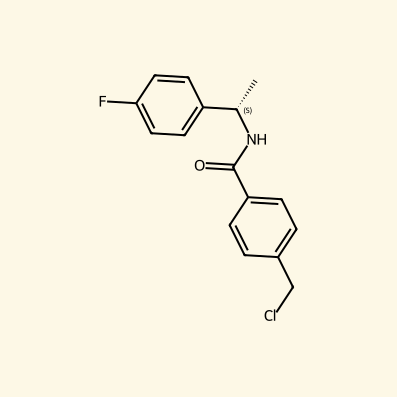 C[C@H](NC(=O)c1ccc(CCl)cc1)c1ccc(F)cc1